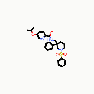 CC(C)Oc1ccc(C(=O)NCC2(c3ccccc3)CCCN(S(=O)(=O)c3ccccc3)C2)nc1